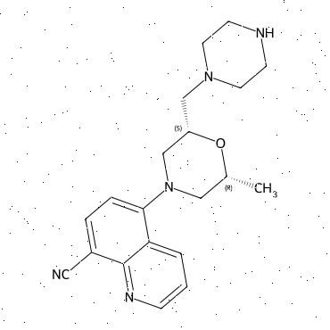 C[C@@H]1CN(c2ccc(C#N)c3ncccc23)C[C@H](CN2CCNCC2)O1